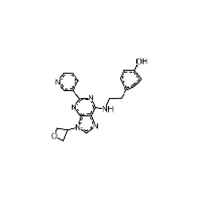 Oc1ccc(CCNc2nc(-c3cccnc3)nc3c2ncn3C2COC2)cc1